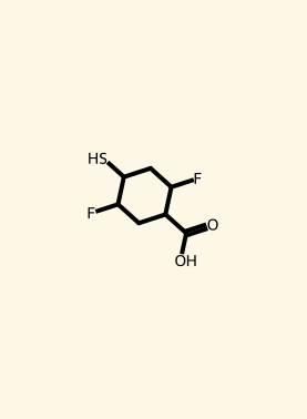 O=C(O)C1CC(F)C(S)CC1F